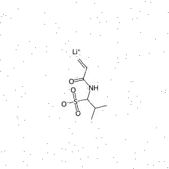 C=CC(=O)NC(C(C)C)S(=O)(=O)[O-].[Li+]